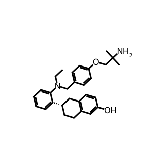 CCN(Cc1ccc(OCC(C)(C)N)cc1)c1ccccc1[C@H]1CCc2cc(O)ccc2C1